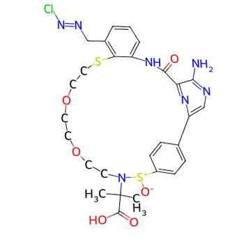 CC(C)(C(=O)O)N1CCOCCOCCSc2c(CN=NCl)cccc2NC(=O)c2nc(cnc2N)-c2ccc(cc2)[S+]1[O-]